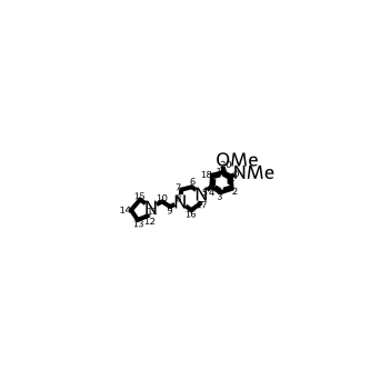 CNc1ccc(N2CCN(CCN3CCCC3)CC2)cc1OC